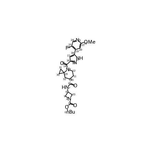 CCCCOC(=O)N1CC(NC(=O)[C@H]2CCN(C(=O)c3cc(-c4cc(OC)ncc4F)[nH]n3)C3(CC3)C2)C1